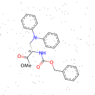 COC(=O)[C@H](CN(c1ccccc1)c1ccccc1)NC(=O)OCc1ccccc1